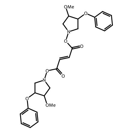 COC1CN(OC(=O)/C=C/C(=O)ON2CC(OC)C(Oc3ccccc3)C2)CC1Oc1ccccc1